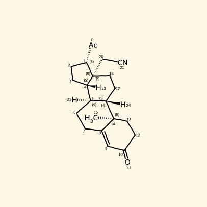 CC(=O)[C@H]1CC[C@H]2[C@@H]3CCC4=CC(=O)CC[C@]4(C)[C@H]3CC[C@]12CC#N